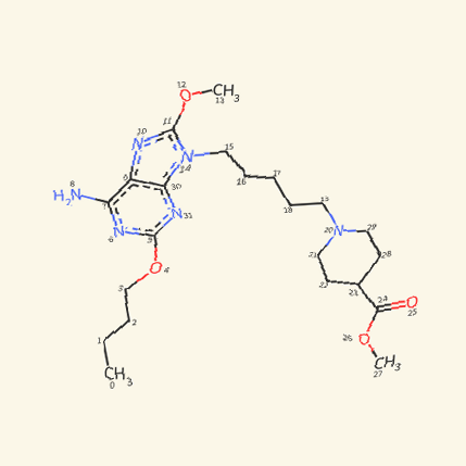 CCCCOc1nc(N)c2nc(OC)n(CCCCCN3CCC(C(=O)OC)CC3)c2n1